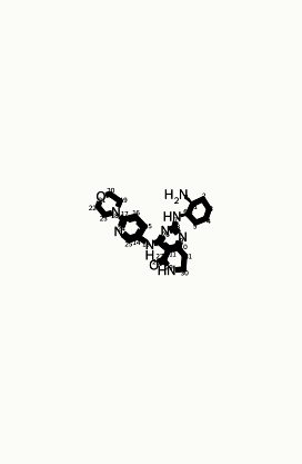 N[C@H]1CCCC[C@H]1Nc1nc2c(c(Nc3ccc(N4CCOCC4)nc3)n1)C(=O)NCC2